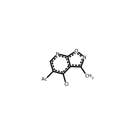 CC(=O)c1cnc2onc(C)c2c1Cl